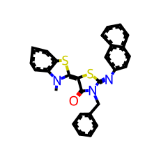 CN1C(=C2SC(=Nc3ccc4ccccc4c3)N(Cc3ccccc3)C2=O)Sc2ccccc21